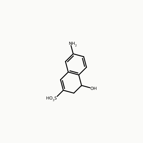 Nc1ccc2c(c1)C=C(S(=O)(=O)O)C[C]2O